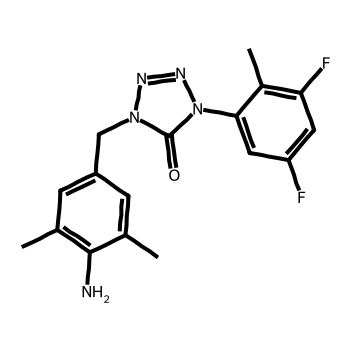 Cc1cc(Cn2nnn(-c3cc(F)cc(F)c3C)c2=O)cc(C)c1N